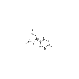 C=CC[C@H](CCC)C1=CCC(I)CC1